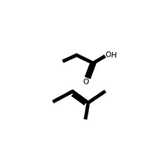 CC=C(C)C.CCC(=O)O